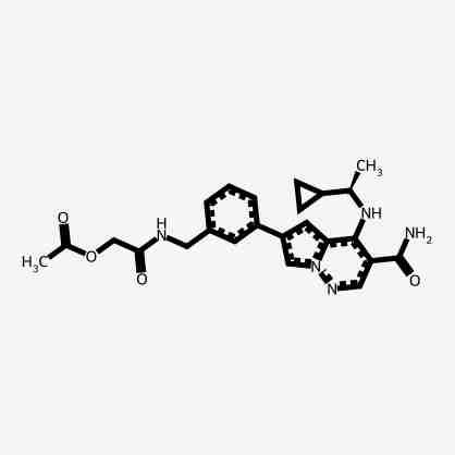 CC(=O)OCC(=O)NCc1cccc(-c2cc3c(N[C@H](C)C4CC4)c(C(N)=O)cnn3c2)c1